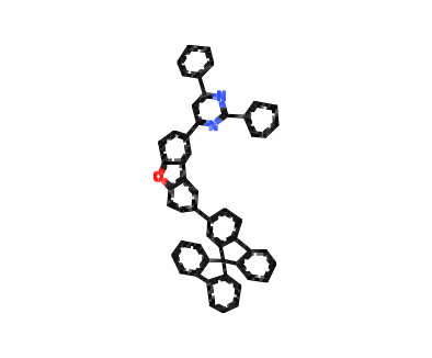 c1ccc(-c2cc(-c3ccc4oc5ccc(-c6ccc7c(c6)C6(c8ccccc8-c8ccccc86)c6ccccc6-7)cc5c4c3)nc(-c3ccccc3)n2)cc1